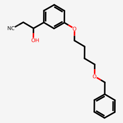 N#CCC(O)c1cccc(OCCCCOCc2ccccc2)c1